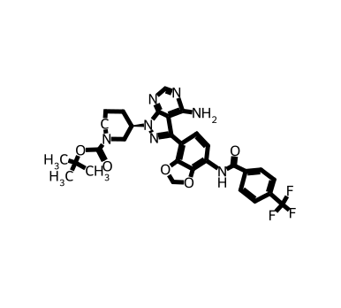 CC(C)(C)OC(=O)N1CCC[C@@H](n2nc(-c3ccc(NC(=O)c4ccc(C(F)(F)F)cc4)c4c3OCO4)c3c(N)ncnc32)C1